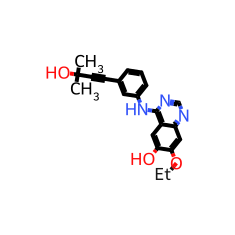 CCOc1cc2ncnc(Nc3cccc(C#CC(C)(C)O)c3)c2cc1O